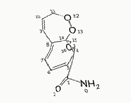 NC(=O)C1=C2C=CC=C3C=CCOOC32CO1